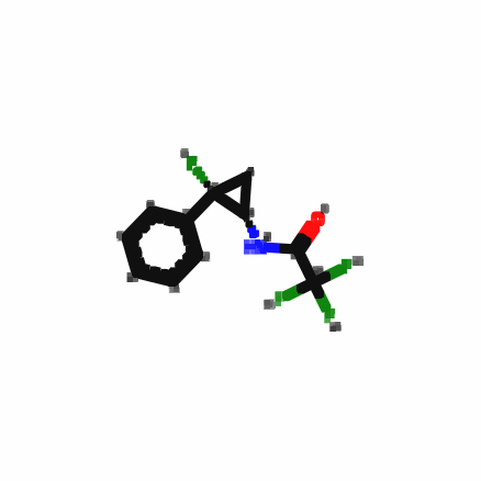 O=C(N[C@H]1C[C@]1(F)c1ccccc1)C(F)(F)F